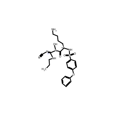 CCCN/C(=N\C#N)N(O)C(=O)[C@@H](CCCCN)NS(=O)(=O)c1ccc(Oc2ccccc2)cc1